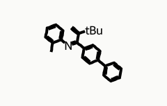 C=C(/C(=N\c1ccccc1C)c1ccc(-c2ccccc2)cc1)C(C)(C)C